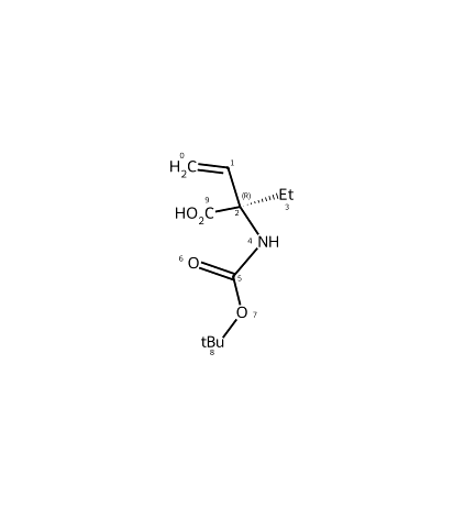 C=C[C@@](CC)(NC(=O)OC(C)(C)C)C(=O)O